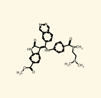 COC(=O)c1ccc2c(c1)NC(=O)C2=C(Nc1ccc(C(=O)N(C)CCN(C)C)cc1)c1ccc2cnncc2c1